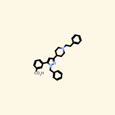 O=C(O)c1cccc(-c2cc(C3CCN(CCc4ccccc4)CC3)nn2Cc2ccccc2)c1